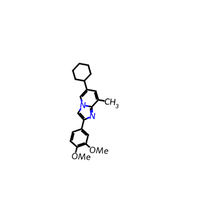 COc1ccc(-c2cn3cc(C4CCCCC4)cc(C)c3n2)cc1OC